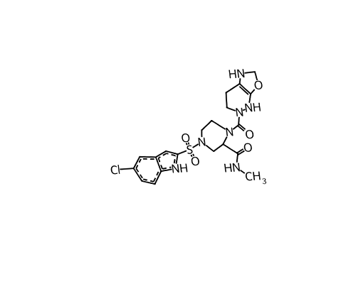 CNC(=O)C1CN(S(=O)(=O)c2cc3cc(Cl)ccc3[nH]2)CCN1C(=O)N1CCC2=C(N1)OCN2